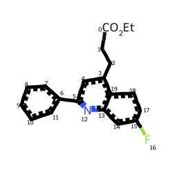 CCOC(=O)CCc1cc(-c2ccccc2)nc2cc(F)ccc12